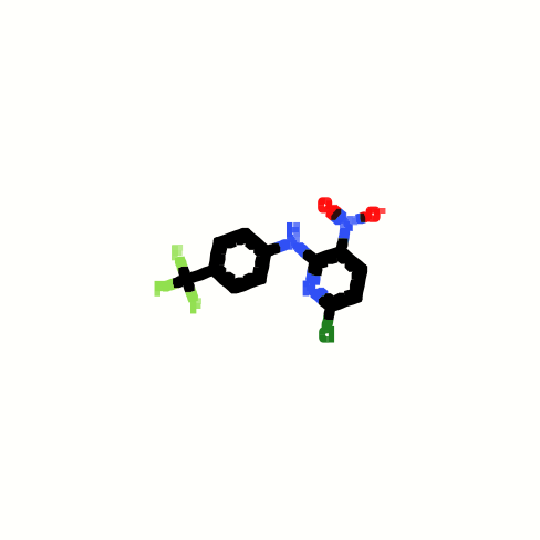 O=[N+]([O-])c1ccc(Cl)nc1Nc1ccc(C(F)(F)F)cc1